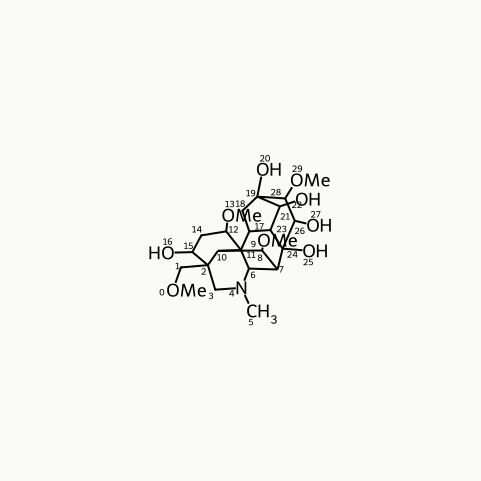 COCC12CN(C)C3C4C(OC)C1C3(C(OC)CC2O)C1CC2(O)C(O)C1C4(O)C(O)C2OC